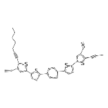 C#Cc1cc(-c2ccc(-c3ccc(-c4ccc(-c5cc(C#C)c(C#CCCCCC)s5)s4)cc3)s2)sc1C#CC